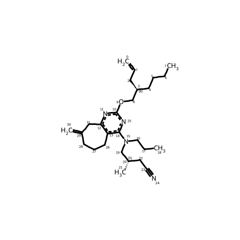 C=CC[C@@H](CCCC)COc1nc2c(c(N(CCC)C[C@@H](C)CC#N)n1)CCCC(=C)C2